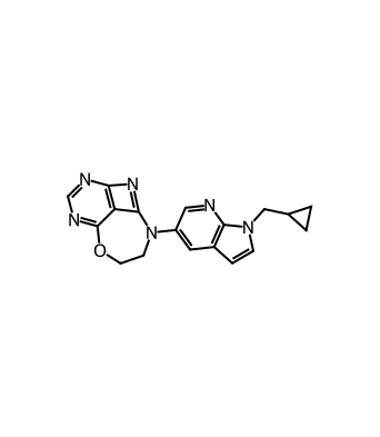 c1nc2c3c(n1)OCCN(c1cnc4c(ccn4CC4CC4)c1)C3=N2